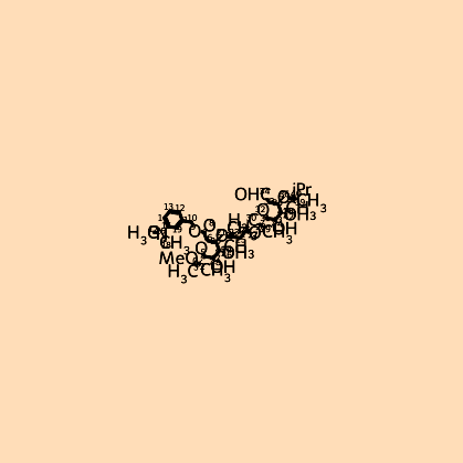 COC(C)(C)[C@@H]1OC(C(=O)OCc2cccc(N(C)C)c2)[C@@H](OC(C)(C)CCOC(C)(C)[C@@H]2OC(C=O)[C@@H](OC(C)(C)C(C)C)[C@H](O)[C@@H]2O)[C@H](O)[C@@H]1O